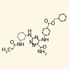 C=CC(=O)NC1CCC[C@@H](Nc2nnc(C(N)=O)c(Nc3ccc(C(=O)OCc4ccccc4)cc3)n2)C1